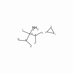 C1CC1.CC(C)C(C)(N)C(C)C